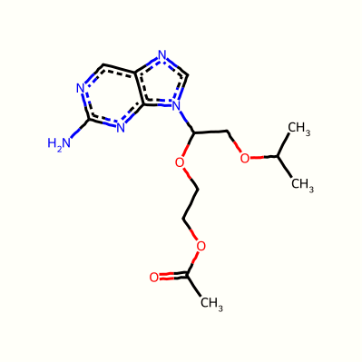 CC(=O)OCCOC(COC(C)C)n1cnc2cnc(N)nc21